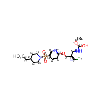 CC(C)(C)OC(O)NC/C(=C\F)COc1ccc(S(=O)(=O)N2CCC(CC(=O)O)CC2)cn1